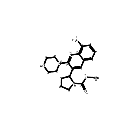 Cc1cccc2cc(C3CCCN3C(=O)OC(C)(C)C)c(N3CCOCC3)nc12